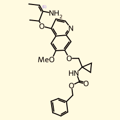 C/C=C(/N)C(C)Oc1ccnc2cc(OCC3(NC(=O)OCc4ccccc4)CC3)c(OC)cc12